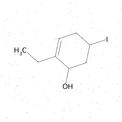 CCC1=CCC(I)CC1O